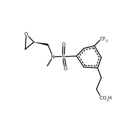 CN(C[C@H]1CO1)S(=O)(=O)c1cc(CCC(=O)O)cc(C(F)(F)F)c1